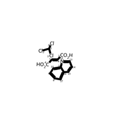 ClC(Cl)Cl.O=C(O)/C=C/C(=O)O.c1ccc2ncccc2c1